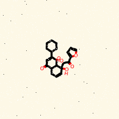 O=C1C=C(C2CCCCC2)C(=O)C2C1CC=CC2(O)C(O)C(=O)c1ccco1